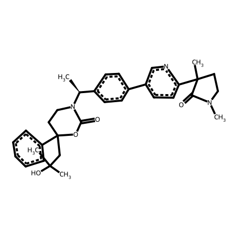 C[C@@H](c1ccc(-c2ccc(C3(C)CCN(C)C3=O)nc2)cc1)N1CCC(CC(C)(C)O)(c2ccccc2)OC1=O